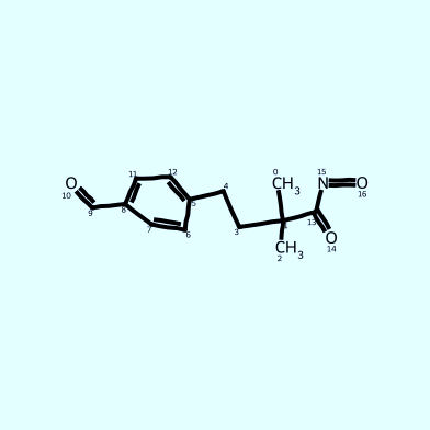 CC(C)(CCc1ccc(C=O)cc1)C(=O)N=O